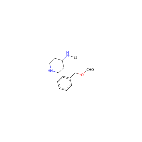 CCNC1CCNCC1.O=COCc1ccccc1